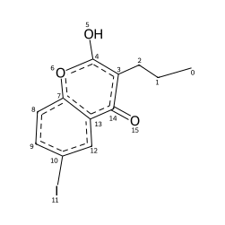 CCCc1c(O)oc2ccc(I)cc2c1=O